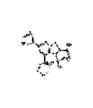 CC(C)(C)C1c2c(nc(-c3cncnc3)nc2C2C=COCC2)CN1C(=O)O